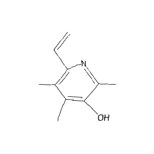 C=Cc1nc(C)c(O)c(C)c1C